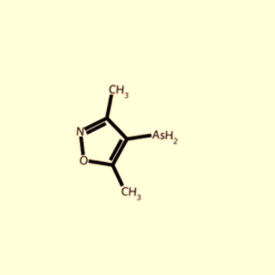 Cc1noc(C)c1[AsH2]